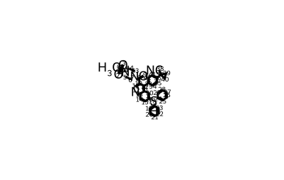 CS(=O)(=O)N1CCN(C(=O)c2cnc3ccc([SH](c4ccccc4)c4ccccc4)cc3c2-c2ccc(C3(C#N)CC3)cc2)CC1